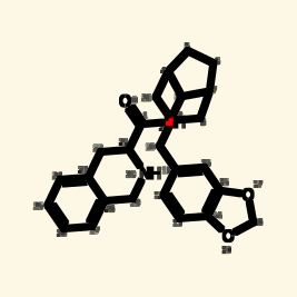 O=C(NC1C2CCC1CN(Cc1ccc3c(c1)OCO3)C2)C1Cc2ccccc2CN1